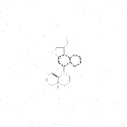 ClCC1CNc2cc(N3CCC[C@@H]4CSSC=C43)c3ccccc3c21